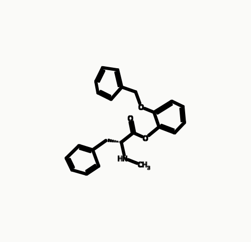 CN[C@H](Cc1ccccc1)C(=O)Oc1ccccc1OCc1ccccc1